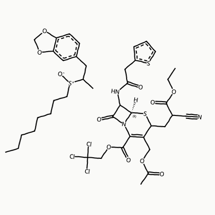 CCCCCCCC[S+]([O-])C(C)Cc1ccc2c(c1)OCO2.CCOC(=O)C(C#N)CC1S[C@@H]2C(NC(=O)Cc3cccs3)C(=O)N2C(C(=O)OCC(Cl)(Cl)Cl)=C1COC(C)=O